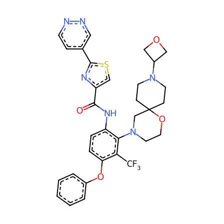 O=C(Nc1ccc(Oc2ccccc2)c(C(F)(F)F)c1N1CCOC2(CCN(C3COC3)CC2)C1)c1csc(-c2ccnnc2)n1